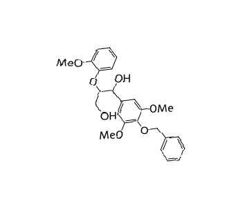 COc1ccccc1OC(CO)C(O)c1cc(OC)c(OCc2ccccc2)c(OC)c1